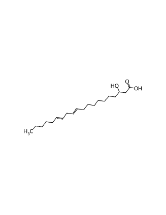 CCCCCC=CCC=CCCCCCCCC(O)CC(=O)O